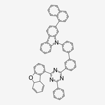 C1=CC2Oc3cccc(-c4nc(-c5ccccc5)nc(-c5cccc(-c6cccc(-n7c8ccccc8c8ccc(-c9cccc%10ccccc9%10)cc87)c6)c5)n4)c3C2C=C1